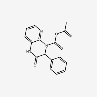 C=C(C)OC(=O)N1c2ncccc2NC(=O)C1c1ccccc1